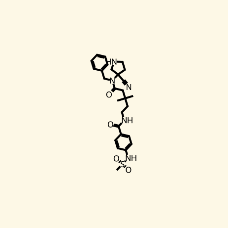 CC(C)(CCNC(=O)c1ccc(NS(C)(=O)=O)cc1)CC(=O)N(Cc1ccccc1)C1(C#N)CCNC1